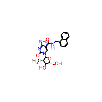 C[C@H]1C(O)[C@@H](CO)O[C@H]1n1cc(C(=O)NCc2cccc3ccccc23)c(N)nc1=O